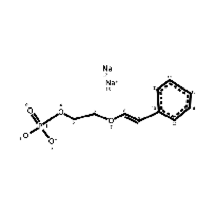 O=P([O-])([O-])OCCOC=Cc1ccccc1.[Na+].[Na+]